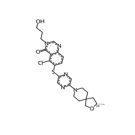 C[C@H]1CC2(CCN(c3cnc(Sc4ccc5ncn(CCCO)c(=O)c5c4Cl)cn3)CC2)CO1